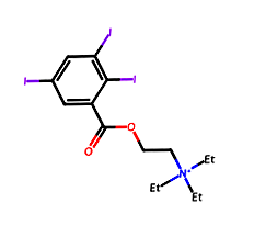 CC[N+](CC)(CC)CCOC(=O)c1cc(I)cc(I)c1I